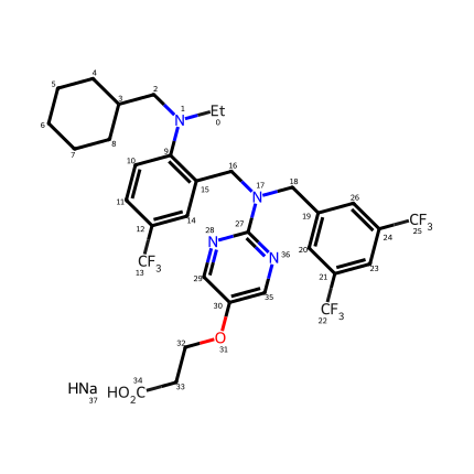 CCN(CC1CCCCC1)c1ccc(C(F)(F)F)cc1CN(Cc1cc(C(F)(F)F)cc(C(F)(F)F)c1)c1ncc(OCCC(=O)O)cn1.[NaH]